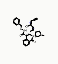 C#C/C=C(Cl)\C=C/C[C@H]1[C@H](C(=O)NOCc2ccccc2)c2ccccc2C(=O)N1[C@H]1CCN(C)C1